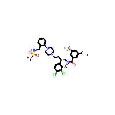 Cc1cc(C)cc(C(=O)N(C)C[C@@H](CCN2CCN(c3ccccc3CNS(C)(=O)=O)CC2)c2ccc(Cl)c(Cl)c2)c1